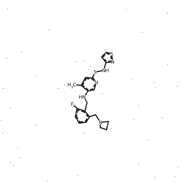 Cc1cc(SNc2ccsn2)ncc1NCc1c(F)cccc1CN1CCC1